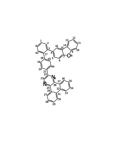 c1ccc(-c2ccc3oc4ccccc4c3c2)c(-c2ccc(-c3cnc4c5ccccc5c5ccccc5c4n3)cc2)c1